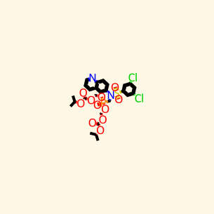 CC(C)OC(=O)OCOP(=O)(CN(c1ccc2ncccc2c1)S(=O)(=O)c1cc(Cl)cc(Cl)c1)OCOC(=O)OC(C)C